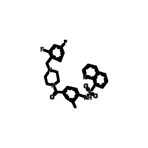 Cc1cc(C(=O)N2CCN(Cc3ccc(F)cc3F)CC2)ccc1NS(=O)(=O)c1cccc2cccnc12